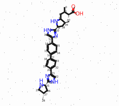 CC(CC(=O)O)CC1N[C@H](c2nc(-c3ccc(-c4ccc(-c5c[nH]c([C@@H]6C[C@H](C)CN6)n5)cc4)cc3)c[nH]2)C[C@@H]1C